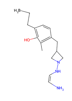 BCCc1ccc(CC2CN(N/C=C\N)C2)c(C)c1O